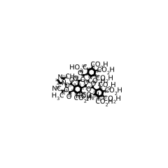 Cc1nccn1OC(=O)c1c(C(=O)OC(C)C#N)c(C(=O)O)c(C(=O)O)c(C(=O)OC(=O)c2c(C(=O)O)c(C(=O)O)c(C(=O)O)c(C(=O)O)c2C(=O)O)c1C(=O)OC(=O)c1c(C(=O)O)c(C(=O)O)c(C(=O)O)c(C(=O)O)c1C(=O)O